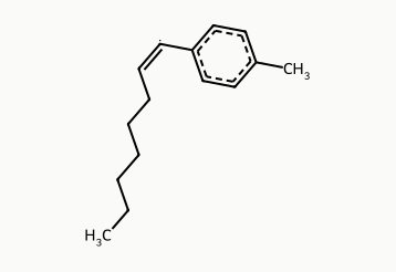 CCCCCC/C=[C]\c1ccc(C)cc1